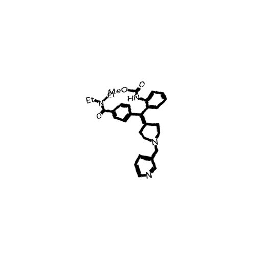 CCN(CC)C(=O)c1ccc(C(=C2CCN(Cc3cccnc3)CC2)c2ccccc2NC(=O)OC)cc1